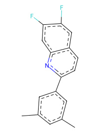 Cc1cc(C)cc(-c2ccc3cc(F)c(F)cc3n2)c1